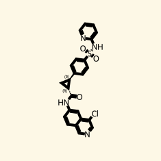 O=C(Nc1ccc2cncc(Cl)c2c1)[C@@H]1C[C@H]1c1ccc(S(=O)(=O)Nc2ccccn2)cc1